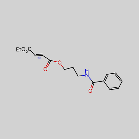 CCOC(=O)/C=C/C(=O)OCCCNC(=O)c1ccccc1